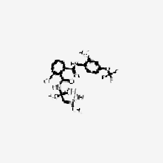 Cc1cc(OC(F)(F)F)ccc1NC(=O)c1cccc(Cl)c1C(=O)NC(C)(C)C=[N+](C)O